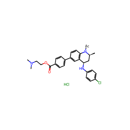 CC(=O)N1c2ccc(-c3ccc(C(=O)OCCN(C)C)cc3)cc2[C@H](Nc2ccc(Cl)cc2)C[C@@H]1C.Cl